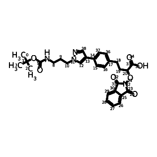 CC(C)(C)OC(=O)NCCCn1cc(-c2ccc(CCC(ON3C(=O)c4ccccc4C3=O)C(=O)O)cc2)cn1